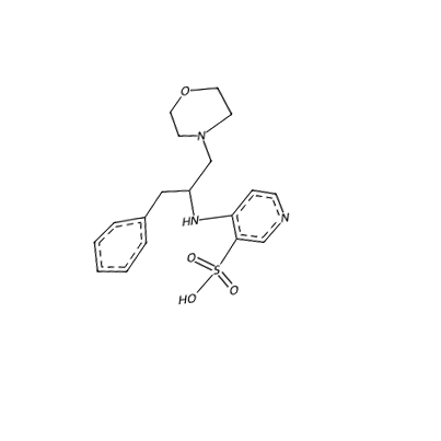 O=S(=O)(O)c1cnccc1NC(Cc1ccccc1)CN1CCOCC1